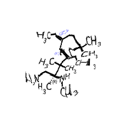 C/C=C(\C=C(/CC)C(C)(C)[C@](C)(CN)NC)CC(C)(C)C